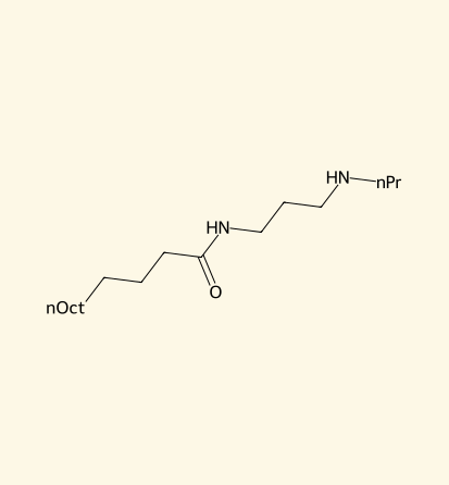 CCCCCCCCCCCC(=O)NCCCNCCC